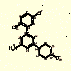 Nc1nc(-c2cc(Cl)ccc2Cl)nc(N2CC[S+]([O-])CC2)n1